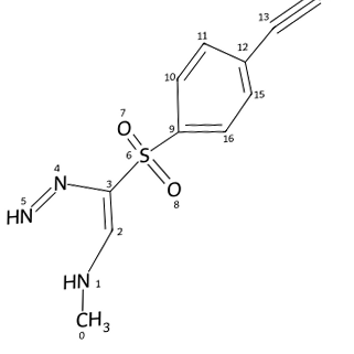 CN/C=C(\N=N)S(=O)(=O)c1ccc(C#N)cc1